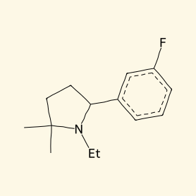 CCN1C(c2cccc(F)c2)CCC1(C)C